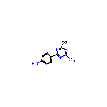 Nc1ccc(-c2nc(C(Cl)(Cl)Cl)nc(C(Cl)(Cl)Cl)n2)cc1